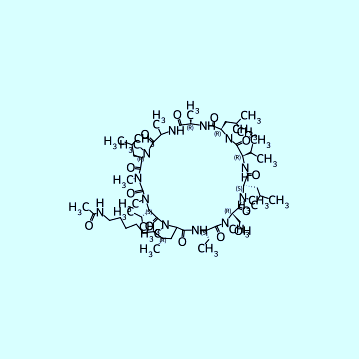 CC[C@@H]1NC(=O)C(C[C@H](C)CCCCCCNC(C)=O)N(C)C(=O)[C@H](C(C)C)N(C)C(=O)N(C)C(=O)[C@@H](CC(C)C)N(C)C(=O)C(C)NC(=O)[C@@H](C)NC(=O)[C@@H](CC(C)C)N(C)C(=O)[C@@H](C(C)C)NC(=O)[C@H](CC(C)C)N(C)C(=O)[C@@H](CO)N(C)C1=O